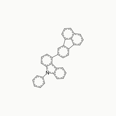 c1ccc(-n2c3ccccc3c3c(-c4ccc5c(c4)-c4cccc6cccc-5c46)cccc32)cc1